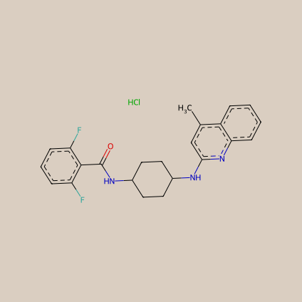 Cc1cc(NC2CCC(NC(=O)c3c(F)cccc3F)CC2)nc2ccccc12.Cl